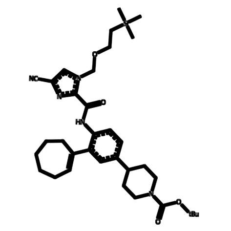 CC(C)(C)OC(=O)N1CCC(c2ccc(NC(=O)c3nc(C#N)cn3COCC[Si](C)(C)C)c(C3=CCCCCC3)c2)CC1